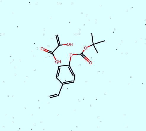 C=C(O)C(=O)O.C=Cc1ccc(OC(=O)OC(C)(C)C)cc1